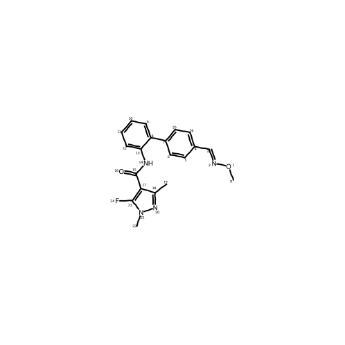 CON=Cc1ccc(-c2ccccc2NC(=O)c2c(C)nn(C)c2F)cc1